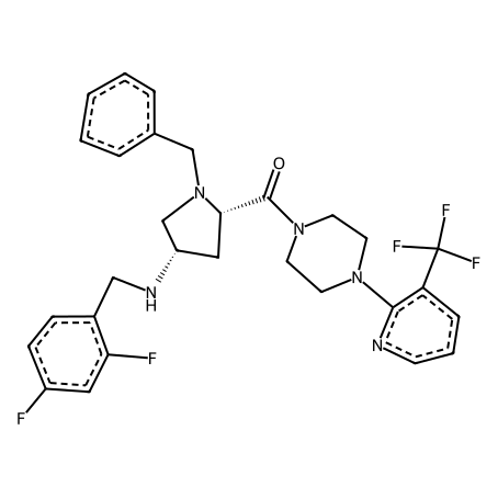 O=C([C@@H]1C[C@H](NCc2ccc(F)cc2F)CN1Cc1ccccc1)N1CCN(c2ncccc2C(F)(F)F)CC1